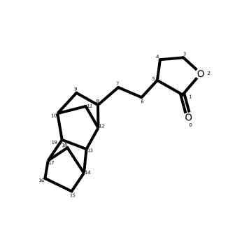 O=C1OCCC1CCC1CC2CC1C1C3CCC(C3)C21